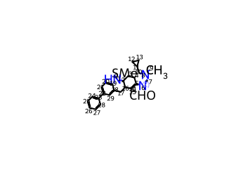 CSNC1CCC(/N=C\N(C)CC2CC2)=C(C=O)C1Cc1cccc(-c2ccccc2)c1